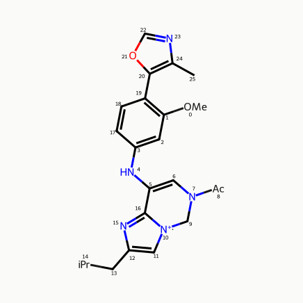 COc1cc(NC2=CN(C(C)=O)C[N+]3C=C(CC(C)C)N=C23)ccc1-c1ocnc1C